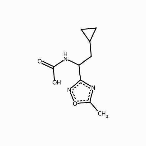 Cc1nc(C(CC2CC2)NC(=O)O)no1